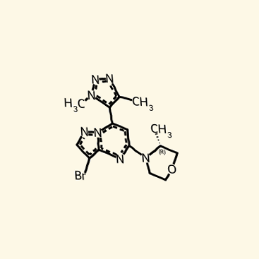 Cc1nnn(C)c1-c1cc(N2CCOC[C@H]2C)nc2c(Br)cnn12